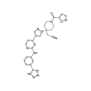 N#CCC1(n2cc(-c3ccnc(Nc4cccc(-c5nnn[nH]5)c4)n3)cn2)CCN(C(=O)c2ccno2)CC1